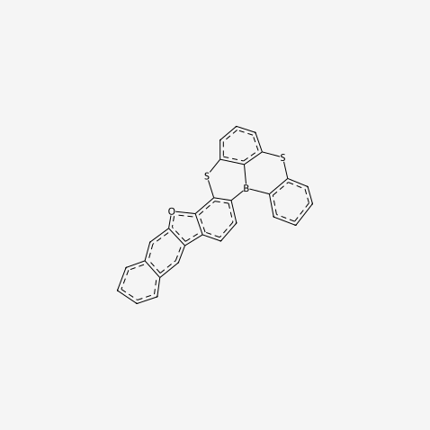 c1ccc2c(c1)Sc1cccc3c1B2c1ccc2c(oc4cc5ccccc5cc42)c1S3